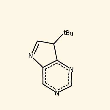 CC(C)(C)C1C=Nc2cncnc21